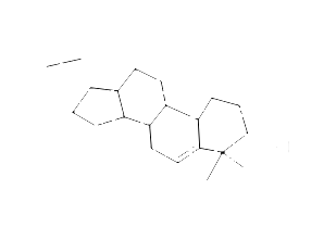 CC[C@H]1CCC2C3CC=C4C(C)(C)[C@@H](O)CC[C@]4(C)C3CC[C@@]21C